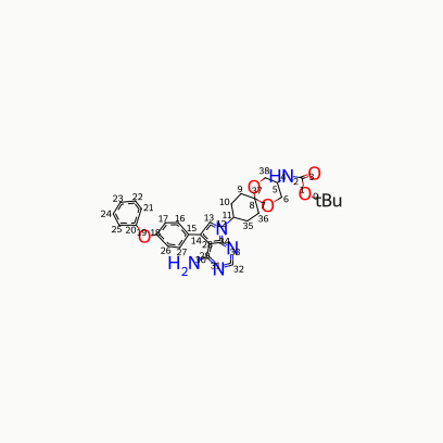 CC(C)(C)OC(=O)NC1COC2(CCC(n3cc(-c4ccc(Oc5ccccc5)cc4)c4c(N)ncnc43)CC2)OC1